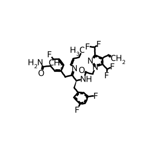 C=Cc1c(C(F)F)nn(CC(=O)N[C@@H](Cc2cc(F)cc(F)c2)/C(CC(/C=C\CF)=C/C(=C)C(N)=O)=N/C=C\CC)c1C(F)F